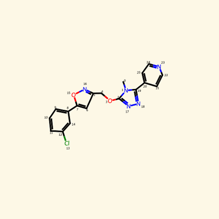 Cn1c(OCc2cc(-c3cccc(Cl)c3)on2)nnc1-c1ccncc1